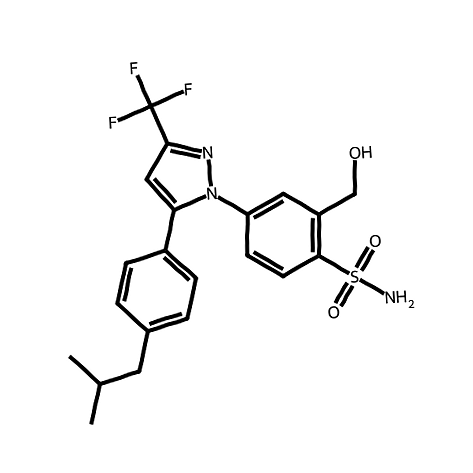 CC(C)Cc1ccc(-c2cc(C(F)(F)F)nn2-c2ccc(S(N)(=O)=O)c(CO)c2)cc1